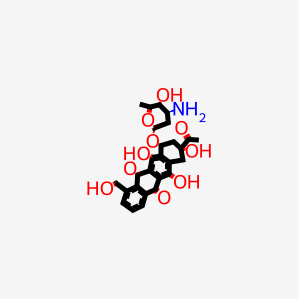 CC(=O)[C@]1(O)Cc2c(O)c3c(c(O)c2[C@@H](O[C@H]2C[C@@H](N)[C@H](O)C(C)O2)C1)C(=O)c1c(CO)cccc1C3=O